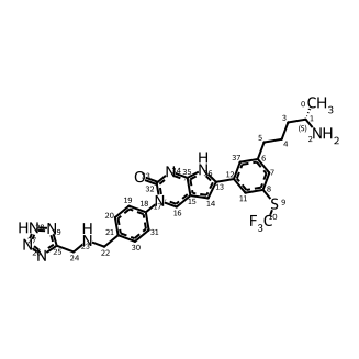 C[C@H](N)CCCc1cc(SC(F)(F)F)cc(-c2cc3cn(-c4ccc(CNCc5nn[nH]n5)cc4)c(=O)nc3[nH]2)c1